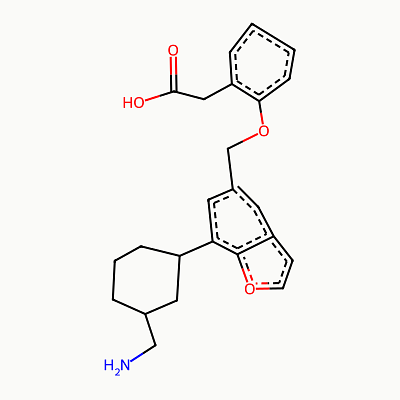 NCC1CCCC(c2cc(COc3ccccc3CC(=O)O)cc3ccoc23)C1